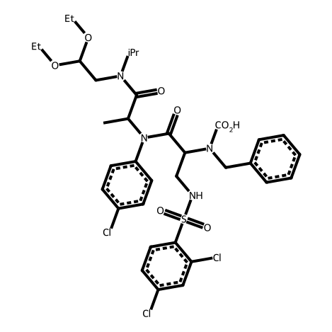 CCOC(CN(C(=O)C(C)N(C(=O)C(CNS(=O)(=O)c1ccc(Cl)cc1Cl)N(Cc1ccccc1)C(=O)O)c1ccc(Cl)cc1)C(C)C)OCC